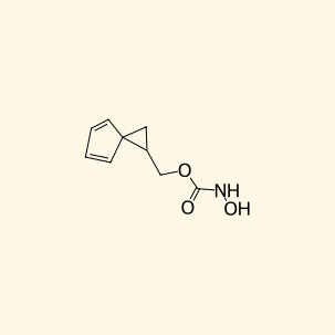 O=C(NO)OCC1CC12C=CC=C2